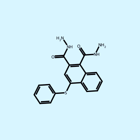 NNC(=O)c1cc(Sc2ccccc2)c2ccccc2c1C(=O)NN